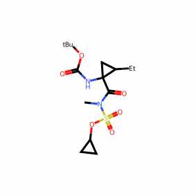 CCC1CC1(NC(=O)OC(C)(C)C)C(=O)N(C)S(=O)(=O)OC1CC1